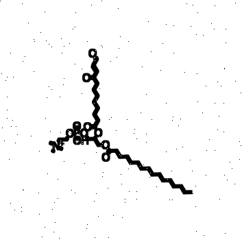 CCCCCCCCCCCCCCCC(=O)OCC(COP(=O)(O)OCC[N+](C)(C)C)OC(=O)CCCCCCCC(=O)C=CC=O